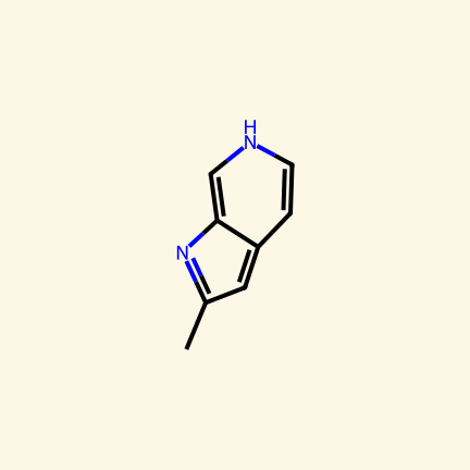 Cc1cc2cc[nH]cc-2n1